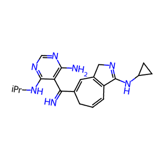 CC(C)Nc1ncnc(N)c1C(=N)C1=CC2=C(C=CC1)C(NC1CC1)=NC2